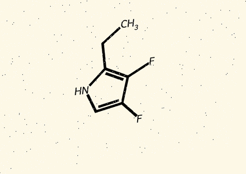 CCc1[nH]cc(F)c1F